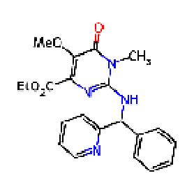 CCOC(=O)c1nc(NC(c2ccccc2)c2ccccn2)n(C)c(=O)c1OC